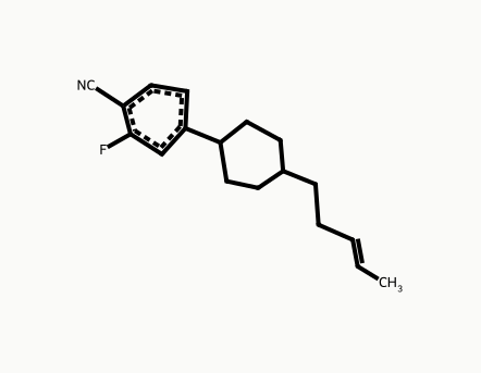 CC=CCCC1CCC(c2ccc(C#N)c(F)c2)CC1